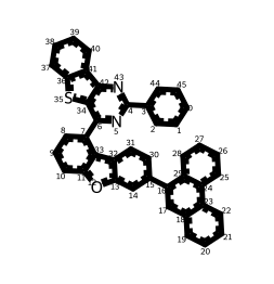 c1ccc(-c2nc(-c3cccc4oc5cc(-c6cc7ccccc7c7ccccc67)ccc5c34)c3sc4ccccc4c3n2)cc1